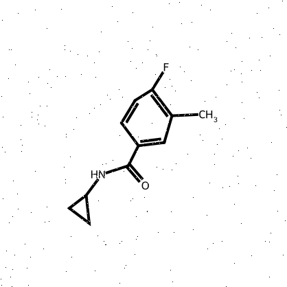 Cc1cc(C(=O)NC2CC2)ccc1F